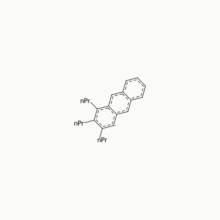 CCCc1[c]c2cc3ccccc3cc2c(CCC)c1CCC